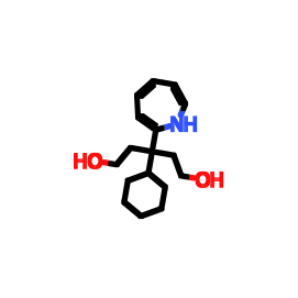 OCCC(CCO)(C1=CC=CC=CN1)C1CCCCC1